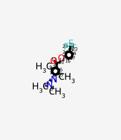 CCN(C)C=Nc1cc(C)c(C(=O)COc2cccc(C(F)(F)F)c2)cc1C